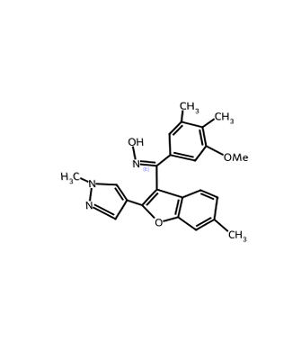 COc1cc(/C(=N\O)c2c(-c3cnn(C)c3)oc3cc(C)ccc23)cc(C)c1C